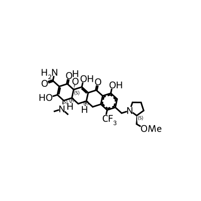 COC[C@@H]1CCCN1Cc1cc(O)c2c(c1C(F)(F)F)C[C@H]1C[C@H]3[C@H](N(C)C)C(O)=C(C(N)=O)C(=O)[C@@]3(O)C(O)=C1C2=O